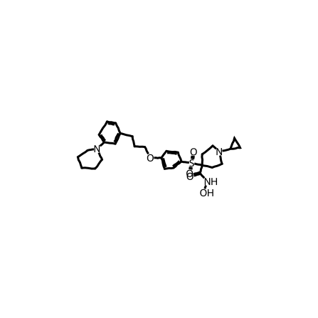 O=C(NO)C1(S(=O)(=O)c2ccc(OCCCc3cccc(N4CCCCC4)c3)cc2)CCN(C2CC2)CC1